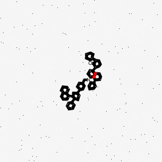 c1ccc(-c2ccc(-c3ccc(CN(c4ccc(-c5cccc6c5oc5ccccc56)cc4)c4ccccc4-c4ccccc4)cc3)cc2-c2cccc3ccccc23)cc1